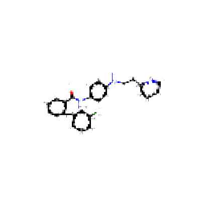 O=C(Nc1ccc(NCCc2ccccn2)cc1)c1ccccc1-c1cccc(Cl)c1